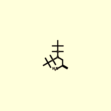 C=C([SiH3])CN([Si](C)(C)C(C)(C)C)[Si](C)(C)C(C)(C)C